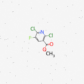 COC(=O)c1cc(F)c(Cl)nc1Cl